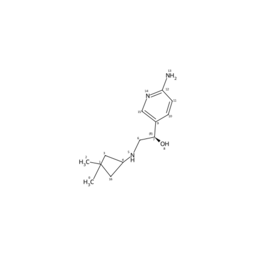 CC1(C)CC(NC[C@H](O)c2ccc(N)nc2)C1